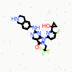 O=c1c2cnc(Nc3ccc4c(c3)CCNC4)nc2n(-c2ccc(F)c(C3(O)CC3)n2)n1CC(F)(F)F